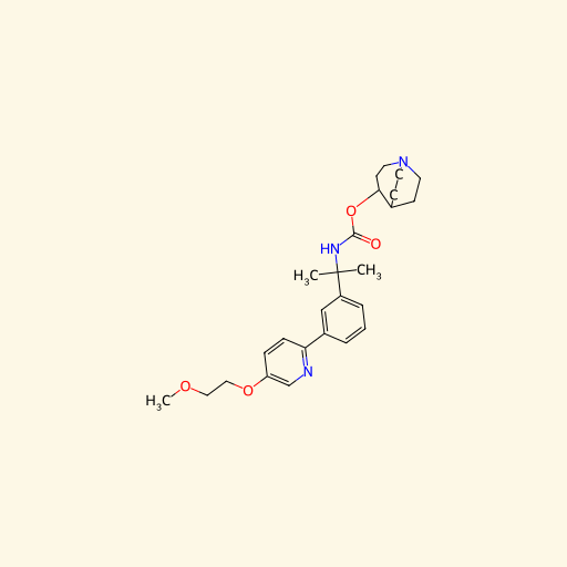 COCCOc1ccc(-c2cccc(C(C)(C)NC(=O)OC3CCN4CCC3CC4)c2)nc1